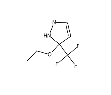 CCOC1(C(F)(F)F)C=C[N]N1